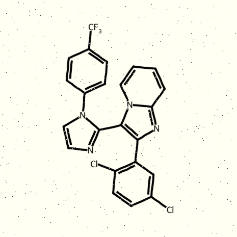 FC(F)(F)c1ccc(-n2ccnc2-c2c(-c3cc(Cl)ccc3Cl)nc3ccccn23)cc1